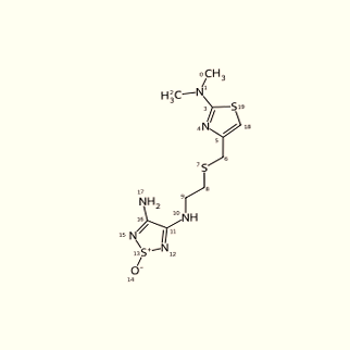 CN(C)c1nc(CSCCNc2n[s+]([O-])nc2N)cs1